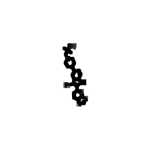 CC(C)c1c(-c2ccc3ncnn3n2)[nH]c2ccc(C3CCN(CC(C)(C)O)CC3)cc12